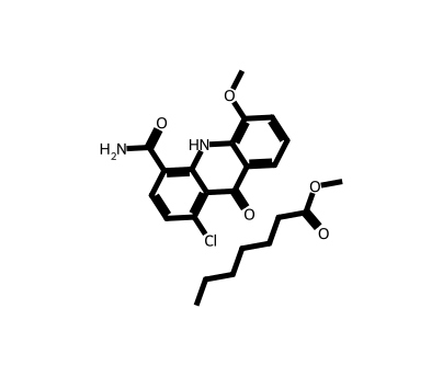 CCCCCCC(=O)OC.COc1cccc2c(=O)c3c(Cl)ccc(C(N)=O)c3[nH]c12